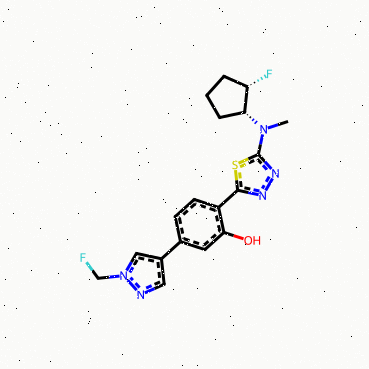 CN(c1nnc(-c2ccc(-c3cnn(CF)c3)cc2O)s1)[C@@H]1CCC[C@@H]1F